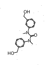 CN(C(=O)N(C)c1cccc(CO)c1)c1cccc(CO)c1